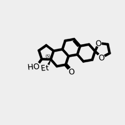 CC[C@]12CC(=O)C3C4CCC5(CC4=CCC3C1CCC2O)OCCO5